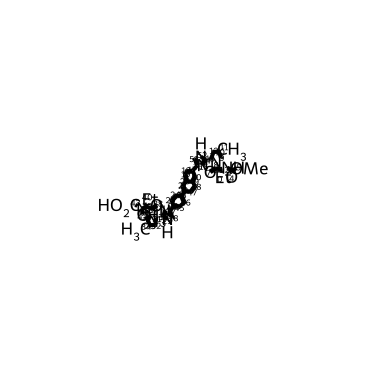 CC[C@H](NC(=O)OC)C(=O)N1C[C@@H](C)C[C@H]1c1nc(-c2ccc3cc(-c4ccc(-c5c[nH]c([C@@H]6C[C@H](C)CN6C(=O)[C@H](CC)N(C)C(=O)O)n5)cc4)ccc3c2)c[nH]1